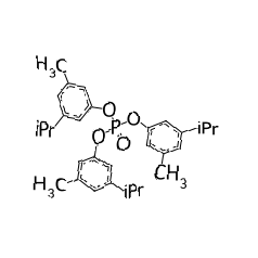 Cc1cc(OP(=O)(Oc2cc(C)cc(C(C)C)c2)Oc2cc(C)cc(C(C)C)c2)cc(C(C)C)c1